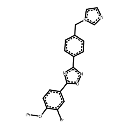 CC(C)Oc1ccc(-c2nc(-c3ccc(Cn4ccnc4)cc3)no2)cc1Br